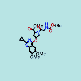 COC(=O)C1C[C@@H](Oc2nc(C3CC3)nc3cc(OC)c(OC)cc23)CN1C(=O)CNC(=O)OC(C)(C)C